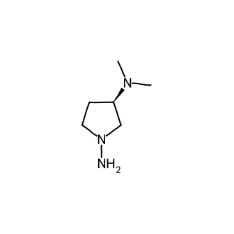 CN(C)[C@@H]1CCN(N)C1